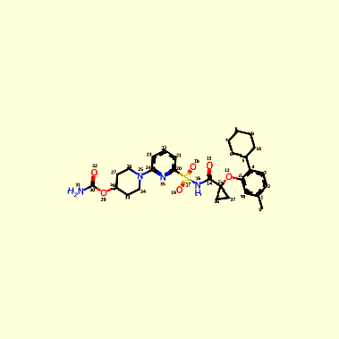 Cc1ccc(C2CCCCC2)c(OC2(C(=O)NS(=O)(=O)c3cccc(N4CCC(OC(N)=O)CC4)n3)CC2)c1